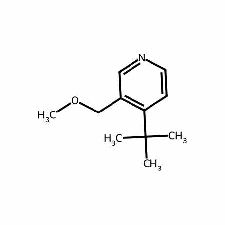 COCc1cnccc1C(C)(C)C